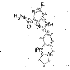 CC(C)C1CCCN1Cc1ccc(-c2nc3c(C(N)=O)cc(F)cc3[nH]2)cc1